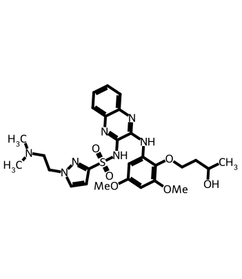 COc1cc(Nc2nc3ccccc3nc2NS(=O)(=O)c2ccn(CCN(C)C)n2)c(OCCC(C)O)c(OC)c1